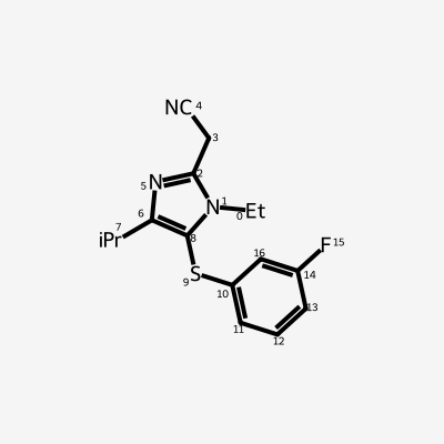 CCn1c(CC#N)nc(C(C)C)c1Sc1cccc(F)c1